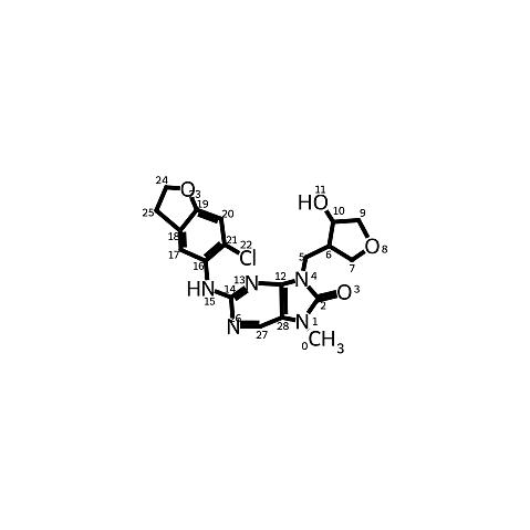 Cn1c(=O)n(CC2COCC2O)c2nc(Nc3cc4c(cc3Cl)OCC4)ncc21